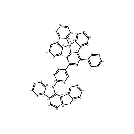 c1ccc(-c2nc(-c3ccc(-n4c5ccccc5c5ccc6sc7ccccc7c6c54)cc3)nc3c2-c2ccccc2[Si]3(c2ccccc2)c2ccccc2)cc1